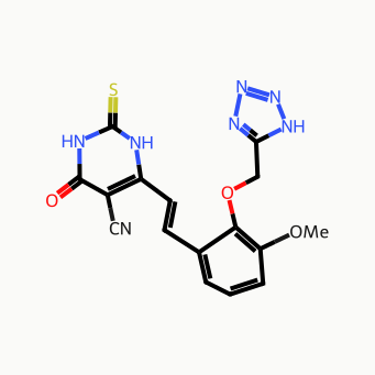 COc1cccc(C=Cc2[nH]c(=S)[nH]c(=O)c2C#N)c1OCc1nnn[nH]1